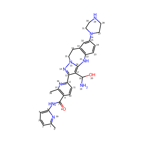 Cc1cccc(NC(=O)c2ccc(-c3nn4c(c3C(N)O)Nc3ccc(N5CCNCC5)cc3CC4)nc2C)n1